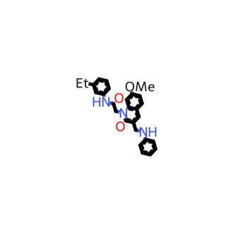 CCc1cccc(NC(=O)Cn2c(=O)c(CNc3ccccc3)cc3ccc(OC)cc32)c1